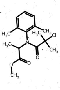 COC(=O)C(C)N(C(=O)C(C)(C)Cl)c1c(C)cccc1C